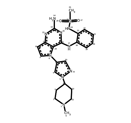 CN1CCC(n2cc(-n3ccc4nc(N)nc(Nc5ccccc5NS(C)(=O)=O)c43)cn2)CC1